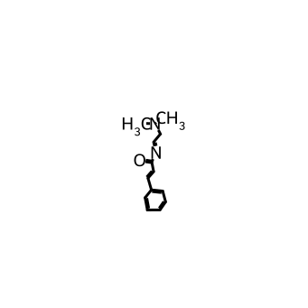 CN(C)CC=NC(=O)C=Cc1ccccc1